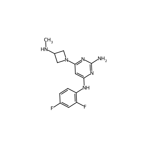 CNC1CN(c2cc(Nc3ccc(F)cc3F)nc(N)n2)C1